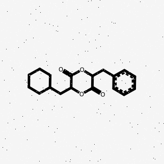 O=C1OC(CC2CCCCC2)C(=O)OC1Cc1ccccc1